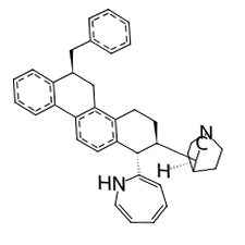 C1=CC=C([C@@H]2c3ccc4c(c3CC[C@H]2[C@H]2CN3CCC2CC3)C[C@H](Cc2ccccc2)c2ccccc2-4)NC=C1